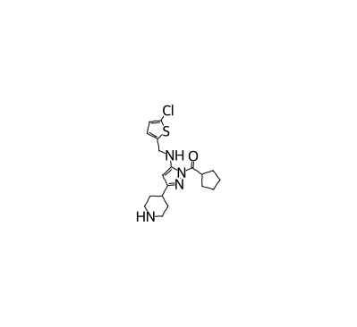 O=C(C1CCCC1)n1nc(C2CCNCC2)cc1NCc1ccc(Cl)s1